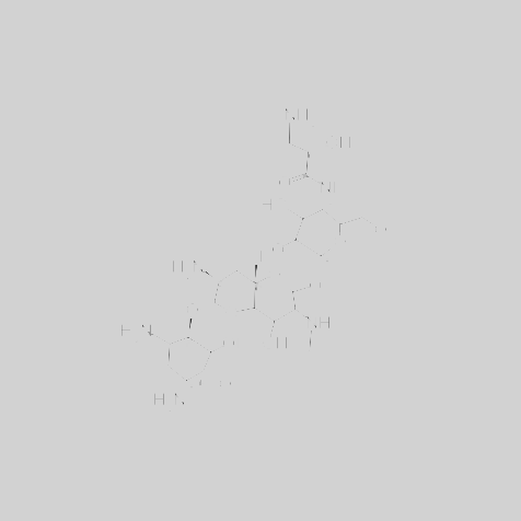 CNC1C(O[C@H]2OC(CO)[C@@H](NC(=O)[C@@H](O)CN)C(O)C2O)O[C@H]2C[C@H](N)[C@@H](O[C@@H]3C(N)C[C@@H](N)[C@@H](O)C3O)OC2C1O